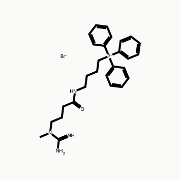 CN(CCCC(=O)NCCCC[P+](c1ccccc1)(c1ccccc1)c1ccccc1)C(=N)N.[Br-]